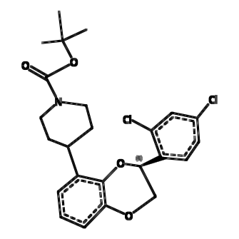 CC(C)(C)OC(=O)N1CCC(c2cccc3c2O[C@@H](c2ccc(Cl)cc2Cl)CO3)CC1